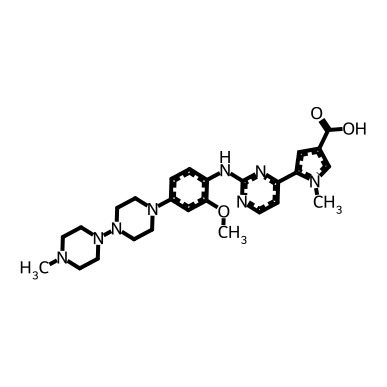 COc1cc(N2CCN(N3CCN(C)CC3)CC2)ccc1Nc1nccc(-c2cc(C(=O)O)cn2C)n1